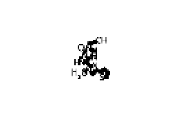 C#CCN1N=NC2=C(c3nc(-c4cccs4)cn3C)NCN2C1=O